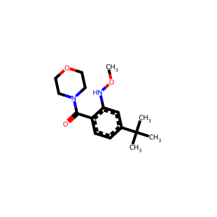 CONc1cc(C(C)(C)C)ccc1C(=O)N1CCOCC1